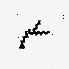 CCCCOCC(OCCCC)O[SiH](C)CCCOCC1CO1